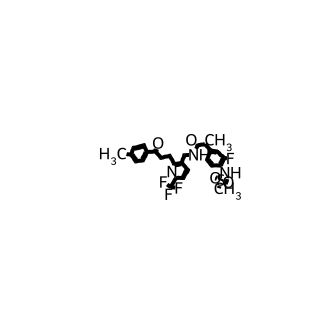 Cc1ccc(C(=O)CCc2nc(C(F)(F)F)ccc2CNC(=O)C(C)c2ccc(NS(C)(=O)=O)c(F)c2)cc1